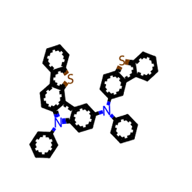 c1ccc(N(c2ccc3sc4ccccc4c3c2)c2ccc3c(c2)c2c4sc5ccccc5c4ccc2n3-c2ccccc2)cc1